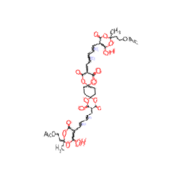 CC(=O)OCCC1(C)OC(=O)C(/C=C/C=C/C=C2C(=O)OC3(CCC4(CC3)OC(=O)C(=C/C=C/C=C/C3=C(O)OC(C)(CCOC(C)=O)OC3=O)C(=O)O4)OC2=O)=C(O)O1